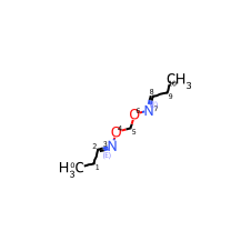 CC/C=N/OCO/N=C/CC